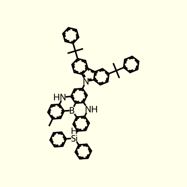 Cc1ccc2c(c1)B1c3cc([SiH](c4ccccc4)c4ccccc4)ccc3Nc3cc(-n4c5ccc(C(C)(C)c6ccccc6)cc5c5cc(C(C)(C)c6ccccc6)ccc54)cc(c31)N2